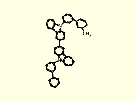 CC1C=C(c2cccc(-n3c4ccccc4c4cc(-c5ccc6c(c5)c5ccccc5n6-c5cccc(-c6ccccc6)c5)ccc43)c2)C=CC1